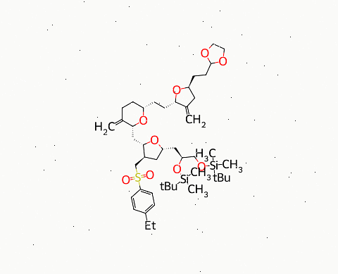 C=C1C[C@H](CCC2OCCO2)O[C@H]1CC[C@H]1CCC(=C)[C@@H](C[C@@H]2O[C@H](C[C@@H](CO[Si](C)(C)C(C)(C)C)O[Si](C)(C)C(C)(C)C)C[C@H]2CS(=O)(=O)c2ccc(CC)cc2)O1